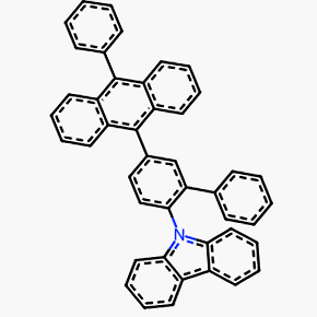 c1ccc(-c2cc(-c3c4ccccc4c(-c4ccccc4)c4ccccc34)ccc2-n2c3ccccc3c3ccccc32)cc1